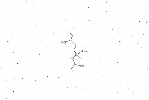 CCC(O)CC[Si](C)(OC)OC(C)P